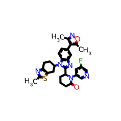 Cc1nc2c(s1)CC(n1c(C3CCCC(=O)N3c3cncc(F)c3)nc3cc(-c4c(C)noc4C)ccc31)CC2